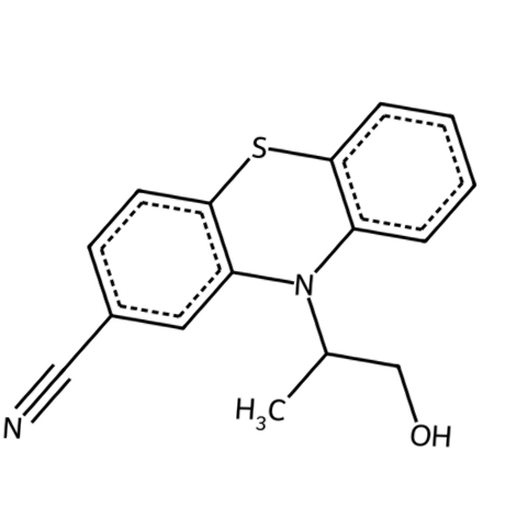 CC(CO)N1c2ccccc2Sc2ccc(C#N)cc21